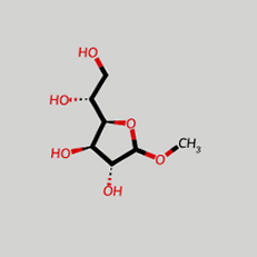 COC1O[C@H]([C@H](O)CO)[C@H](O)[C@H]1O